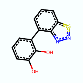 Oc1cccc(-c2cccc3snnc23)c1O